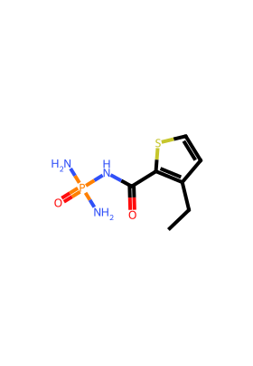 CCc1ccsc1C(=O)NP(N)(N)=O